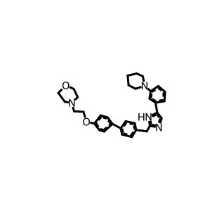 c1cc(-c2cnc(Cc3ccc(-c4ccc(OCCN5CCOCC5)cc4)cc3)[nH]2)cc(N2CCCCC2)c1